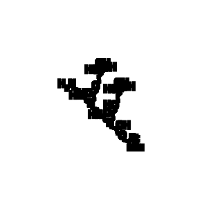 CCCCC(CC)COCC(O)CN(CCNCCN(CCNCCN)CC(O)COCCC[Si](O)(O)O)CC(O)COCCC[Si](O)(O)O